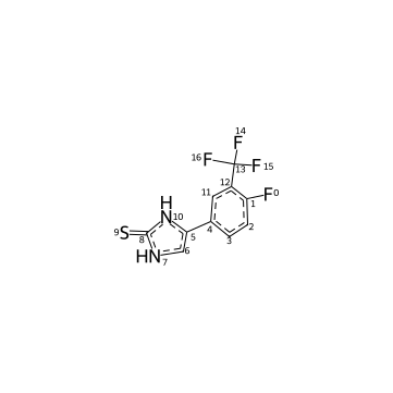 Fc1ccc(-c2c[nH]c(=S)[nH]2)cc1C(F)(F)F